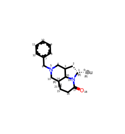 CC[C@@H](C)[C@H]1CC2CN(Cc3ccccc3)C[C@H]3CCC(=O)N1C23